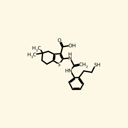 C=C(Nc1ccccc1CCS)Nc1sc2c(c1C(=O)O)CC(C)(C)CC2